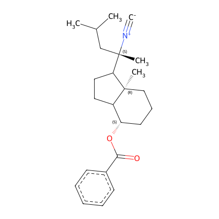 [C-]#[N+][C@@](C)(CC(C)C)C1CCC2[C@@H](OC(=O)c3ccccc3)CCC[C@@]21C